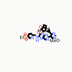 CCS(=O)(=O)c1ccc(CNc2nc3cnc(-c4c(OC)ncnc4C4CC4)nc3n([C@@H]3C[C@@H]4CCC45O[C@@H]35)c2=O)nc1